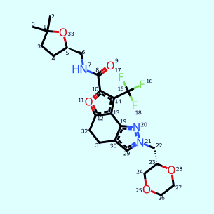 CC1(C)CC[C@H](CNC(=O)c2oc3c(c2C(F)(F)F)-c2nn(C[C@H]4COCCO4)cc2CC3)O1